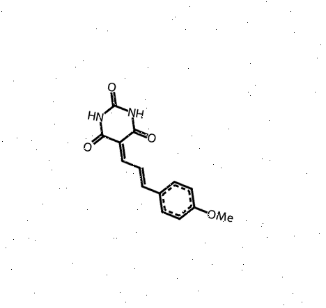 COc1ccc(C=CC=C2C(=O)NC(=O)NC2=O)cc1